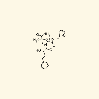 CC1(C(N)=O)CN(C(=O)C(O)[CH]Cc2ccccc2)C(C(=O)NCc2ccco2)S1